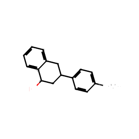 COc1ccc(C2Cc3ccccc3C(O)C2)cc1